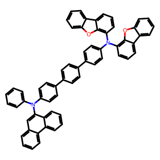 c1ccc(N(c2ccc(-c3ccc(-c4ccc(N(c5cccc6c5oc5ccccc56)c5cccc6c5oc5ccccc56)cc4)cc3)cc2)c2cc3ccccc3c3ccccc23)cc1